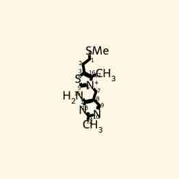 CSCCc1sc[n+](Cc2cnc(C)nc2N)c1C